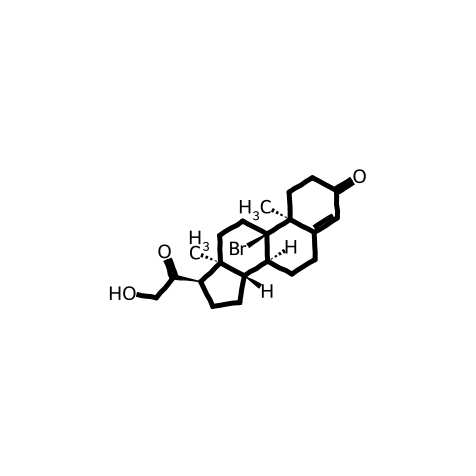 C[C@]12CC[C@@]3(Br)[C@@H](CCC4=CC(=O)CC[C@@]43C)[C@@H]1CC[C@H]2C(=O)CO